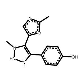 Cc1ncc(C2=C(c3ccc(O)cc3)NNN2C)o1